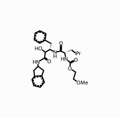 COCCOC(=O)N[C@@H](CC(C)C)C(=O)N[C@@H](Cc1ccccc1)C(O)C(=O)NC1Cc2ccccc2C1